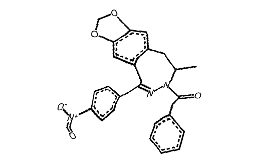 CC1Cc2cc3c(cc2C(c2ccc([N+](=O)[O-])cc2)=NN1C(=O)c1ccccc1)OCO3